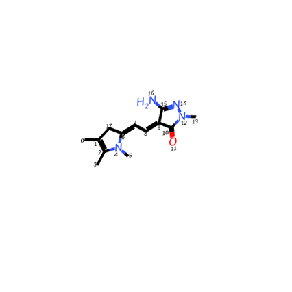 CC1=C(C)N(C)/C(=C\C=C2\C(=O)N(C)N=C2N)C1